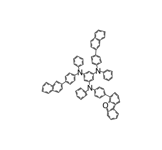 c1ccc(N(c2ccc(-c3ccc4ccccc4c3)cc2)c2cc(N(c3ccccc3)c3ccc(-c4ccc5ccccc5c4)cc3)cc(N(c3ccccc3)c3ccc(-c4cccc5c4oc4ccccc45)cc3)c2)cc1